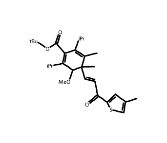 COC1C(C(C)C)=C(C(=O)OC(C)(C)C)C(C(C)C)=C(C)C1(C)C=CC(=O)c1cc(C)cs1